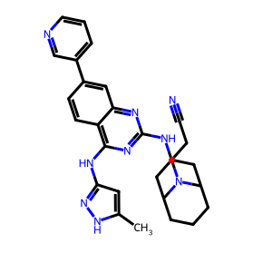 Cc1cc(Nc2nc(NC3CC4CCCC(C3)N4CCC#N)nc3cc(-c4cccnc4)ccc23)n[nH]1